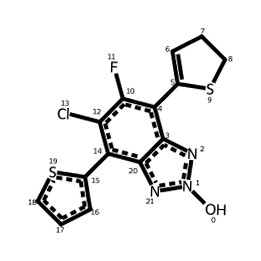 On1nc2c(C3=CCCS3)c(F)c(Cl)c(-c3cccs3)c2n1